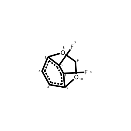 Fc1c2ccc(c1F)OCO2